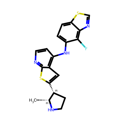 C[C@H]1NCC[C@H]1c1cc2c(Nc3ccc4scnc4c3F)ccnc2s1